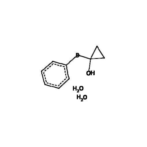 O.O.OC1([B]c2ccccc2)CC1